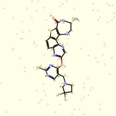 C[C@@H]1CNc2c(sc3ccc4nc(Oc5nc(Cl)ncc5CN5CCC(F)(F)C5)cnc4c23)C(=O)N1